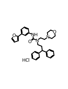 Cl.O=C(Nc1cccc(-c2ccco2)c1)N(CCC(c1ccccc1)c1ccccc1)CCN1CCOCC1